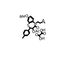 COc1ccc2c(c1)SC(c1ccc(C)cc1)C(OC(C)=O)C(=O)N2CCN(C)C.O=C(O)C(=O)O